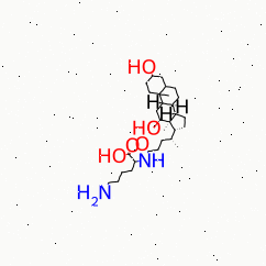 C[C@H](CCC(=O)NC(CCCCN)C(=O)O)[C@H]1CC[C@H]2[C@@H]3CCC4C[C@H](O)CCC4(C)[C@H]3C[C@H](O)[C@]12C